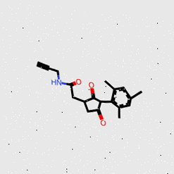 C#CCNC(=O)CC1CC(=O)C(c2c(C)cc(C)cc2C)C1=O